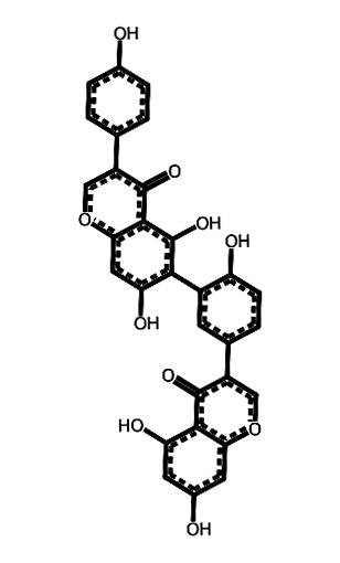 O=c1c(-c2ccc(O)c(-c3c(O)cc4occ(-c5ccc(O)cc5)c(=O)c4c3O)c2)coc2cc(O)cc(O)c12